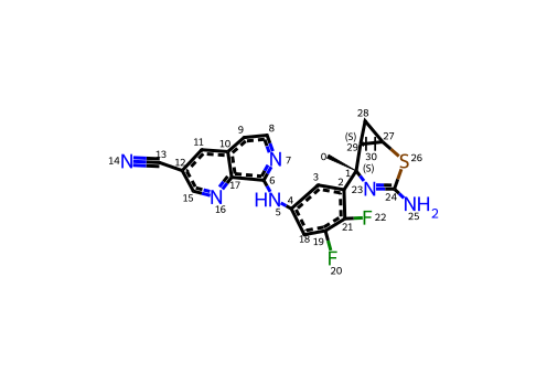 C[C@]1(c2cc(Nc3nccc4cc(C#N)cnc34)cc(F)c2F)N=C(N)SC2C[C@H]21